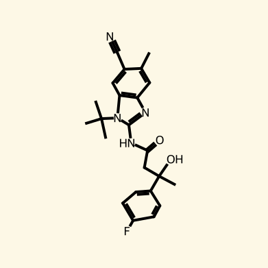 Cc1cc2nc(NC(=O)CC(C)(O)c3ccc(F)cc3)n(C(C)(C)C)c2cc1C#N